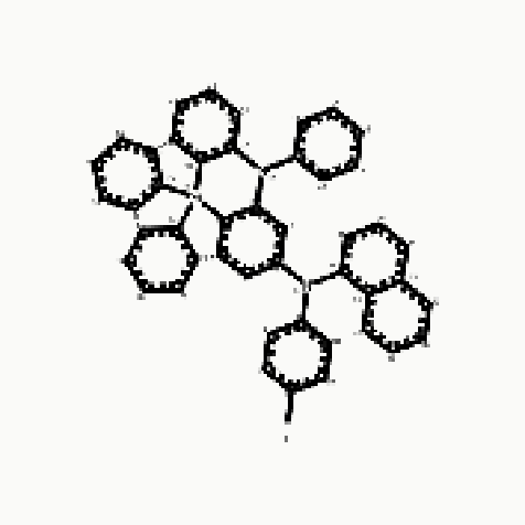 Fc1ccc(N(c2ccc3c(c2)N(c2ccccc2)c2ccccc2[Si]3(c2ccccc2)c2ccccc2)c2cccc3ccccc23)cc1